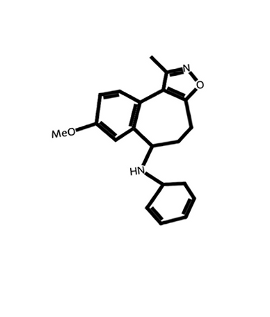 COc1ccc2c(c1)C(NC1C=CC=CC1)CCc1onc(C)c1-2